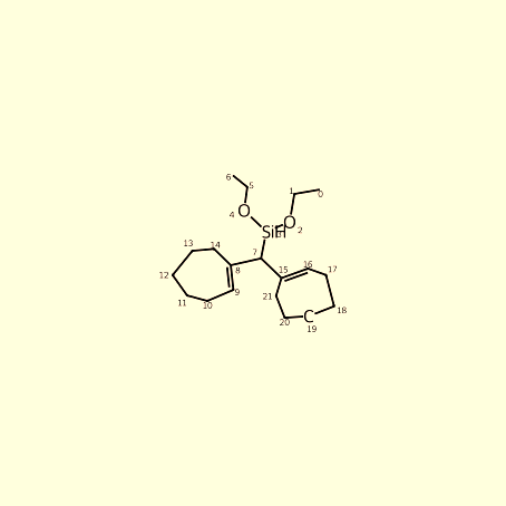 CCO[SiH](OCC)C(C1=CCCCCC1)C1=CCCCCC1